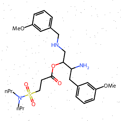 CCCN(CCC)S(=O)(=O)CCC(=O)OC(CNCc1cccc(OC)c1)C(N)Cc1cccc(OC)c1